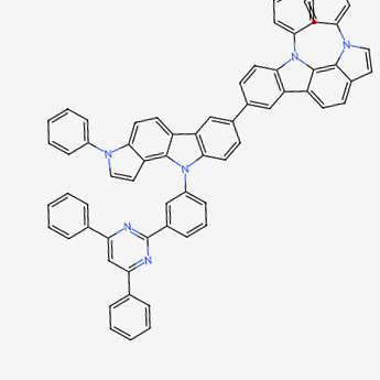 c1ccc(-c2cc(-c3ccccc3)nc(-c3cccc(-n4c5ccc(-c6ccc7c(c6)c6ccc8ccn(-c9ccccc9)c8c6n7-c6ccccc6)cc5c5ccc6c(ccn6-c6ccccc6)c54)c3)n2)cc1